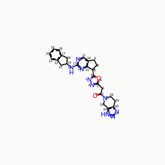 O=C(Cc1nnc([C@@H]2CCc3cnc(NC4Cc5ccccc5C4)nc32)o1)N1CCc2nn[nH]c2C1